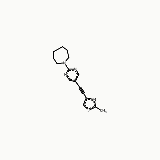 Cc1nc(C#Cc2cnc(N3CCCCCC3)nc2)cs1